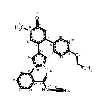 CCOc1ncc(-c2cc(=O)n(C)cc2-c2cnn(-c3ccccc3C(=O)NC#N)c2)cn1